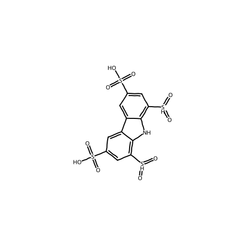 O=[SH](=O)c1cc(S(=O)(=O)O)cc2c1[nH]c1c([SH](=O)=O)cc(S(=O)(=O)O)cc12